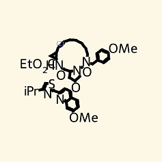 CCOC(=O)C12CC1/C=C\CCCCCN(Cc1ccc(OC)cc1)C(=O)N1CC(Oc3cc(-c4nc(C(C)C)cs4)nc4cc(OC)ccc34)CC1C(=O)N2